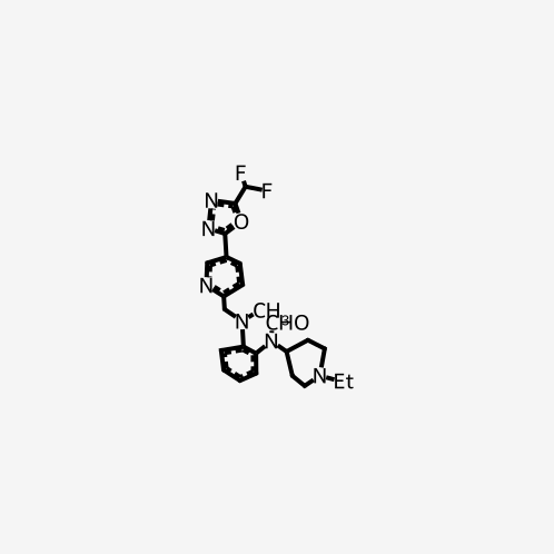 CCN1CCC(N(C=O)c2ccccc2N(C)Cc2ccc(-c3nnc(C(F)F)o3)cn2)CC1